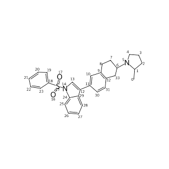 CC1CCCN1C1CCc2cc(-c3cn(S(=O)(=O)c4ccccc4)c4ccccc34)ccc2C1